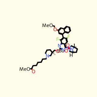 COCOc1cc(-c2c(F)cc3c(N4C[C@H]5CC[C@@](C)(C4)N5C(=O)OC(C)(C)C)nc(OC[C@]4(C)CCCN(CCCCCCC(=O)OC)C4)nc3c2F)c2ccccc2c1